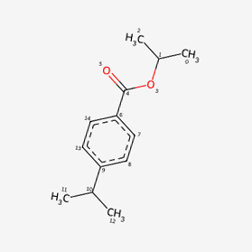 CC(C)OC(=O)c1ccc(C(C)C)cc1